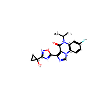 CC(C)n1c(=O)c2c(-c3nc(C4(O)CC4)no3)ncn2c2ccc(F)cc21